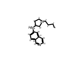 CCCCN1CCC(Nc2ccc3cnccc3c2)C1